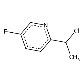 CC(Cl)c1ccc(F)cn1